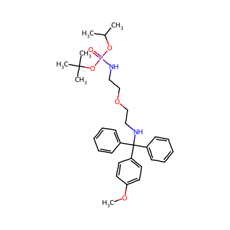 COc1ccc(C(NCCOCCNP(=O)(OC(C)C)OC(C)(C)C)(c2ccccc2)c2ccccc2)cc1